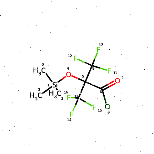 C[Si](C)(C)OC(C(=O)Cl)(C(F)(F)F)C(F)(F)F